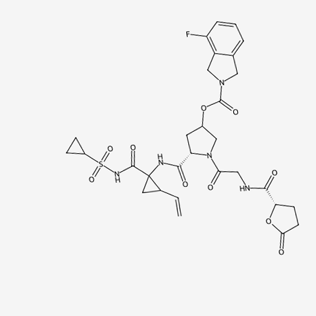 C=CC1CC1(NC(=O)[C@@H]1CC(OC(=O)N2Cc3cccc(F)c3C2)CN1C(=O)CNC(=O)[C@@H]1CCC(=O)O1)C(=O)NS(=O)(=O)C1CC1